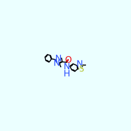 Cc1nc2cc(NC(=O)c3cnc(-c4ccccc4)nc3C)ccc2s1